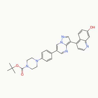 CC(C)(C)OC(=O)N1CCN(c2ccc(-c3cnc4c(-c5ccnc6cc(O)ccc56)cnn4c3)cc2)CC1